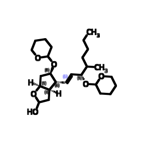 CCCCC(C)[C@@H](/C=C/[C@@H]1[C@H]2CC(O)O[C@H]2C[C@H]1OC1CCCCO1)OC1CCCCO1